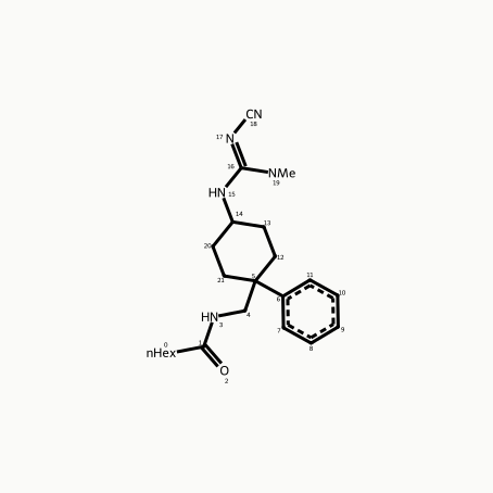 CCCCCCC(=O)NCC1(c2ccccc2)CCC(N/C(=N/C#N)NC)CC1